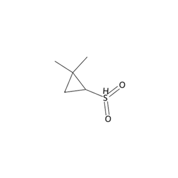 CC1(C)CC1[SH](=O)=O